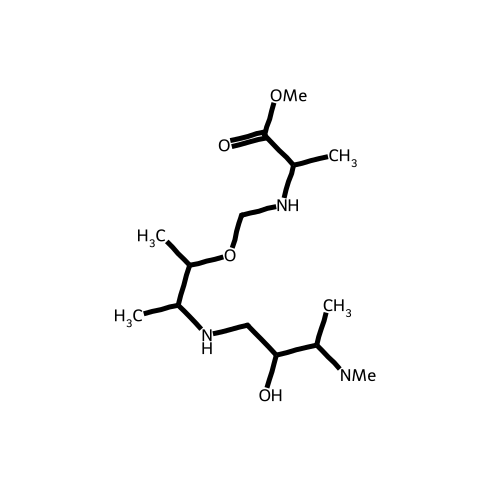 CNC(C)C(O)CNC(C)C(C)OCNC(C)C(=O)OC